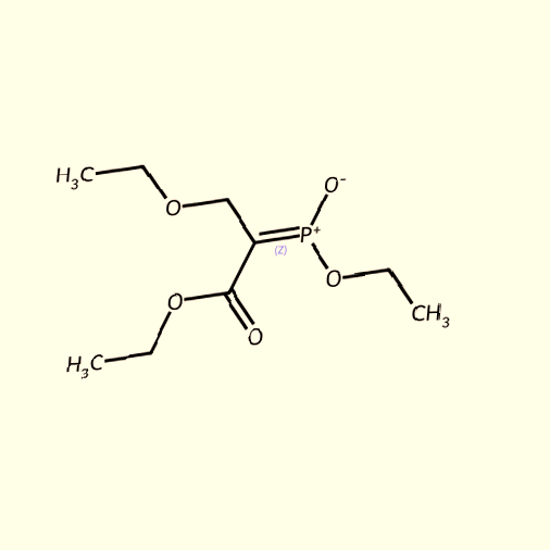 CCOC/C(C(=O)OCC)=[P+](\[O-])OCC